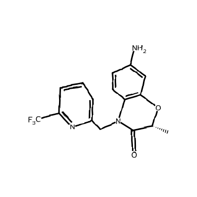 C[C@H]1Oc2cc(N)ccc2N(Cc2cccc(C(F)(F)F)n2)C1=O